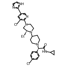 CC[C@H]1CN(c2ncc(-c3ncc[nH]3)cc2Cl)CCN1C1CCN([C@@H](C(=O)NC2CC2)c2ccc(Cl)cc2)CC1